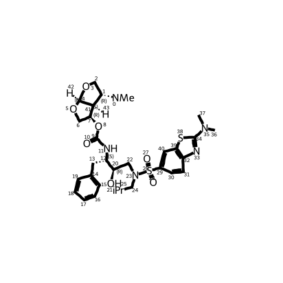 CN[C@H]1CO[C@@H]2OC[C@H](OC(=O)N[C@@H](Cc3ccccc3)[C@H](O)CN(CC(C)C)S(=O)(=O)c3ccc4nc(N(C)C)sc4c3)[C@@H]21